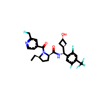 CC[C@@H]1CC[C@H](C(=O)N[C@@H](c2cc(F)c(C(F)(F)F)cc2F)[C@H]2C[C@@H](O)C2)N1C(=O)c1ccnc(CF)c1